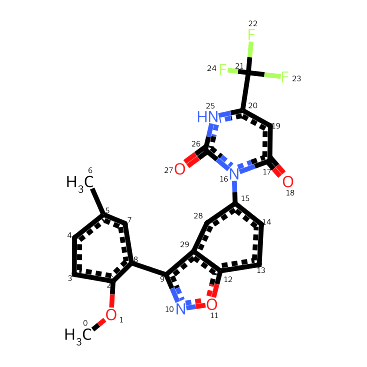 COc1ccc(C)cc1-c1noc2ccc(-n3c(=O)cc(C(F)(F)F)[nH]c3=O)cc12